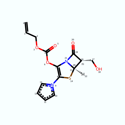 C=CCOC(=O)OC1=C(n2cccc2)S[C@@H]2[C@@H](CO)C(=O)N12